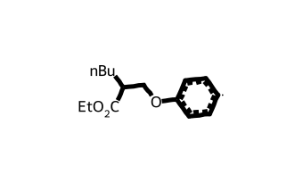 CCCCC(COc1cc[c]cc1)C(=O)OCC